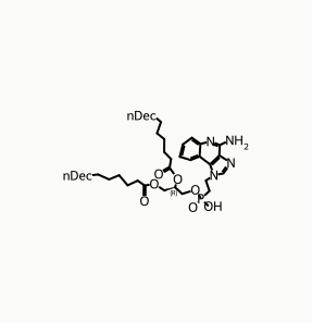 CCCCCCCCCCCCCCCC(=O)OC[C@H](COP(=O)(O)CCn1cnc2c(N)nc3ccccc3c21)OC(=O)CCCCCCCCCCCCCCC